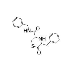 O=C(NCc1ccccc1)C1CSC(=O)C(Cc2ccccc2)N1